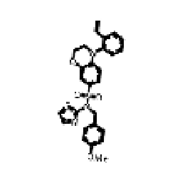 C=Cc1ccccc1N1CCOc2cc(S(=O)(=O)N(Cc3ccc(OC)cc3)c3nccs3)ccc21